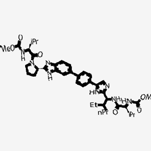 CCCC(CC)C(NC(=O)[C@@H](NC(=O)OC)C(C)C)c1ncc(-c2ccc(-c3ccc4nc([C@@H]5CCCN5C(=O)[C@@H](NC(=O)OC)C(C)C)[nH]c4c3)cc2)[nH]1